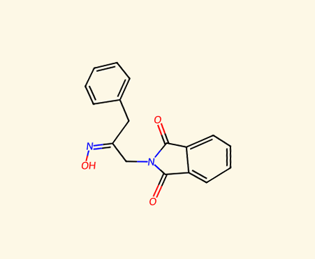 O=C1c2ccccc2C(=O)N1C/C(Cc1ccccc1)=N\O